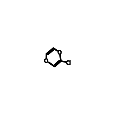 ClC1=COC=CO1